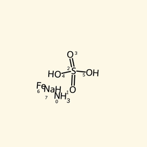 N.O=S(=O)(O)O.[Fe].[NaH]